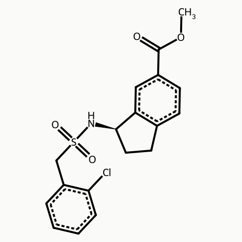 COC(=O)c1ccc2c(c1)[C@H](NS(=O)(=O)Cc1ccccc1Cl)CC2